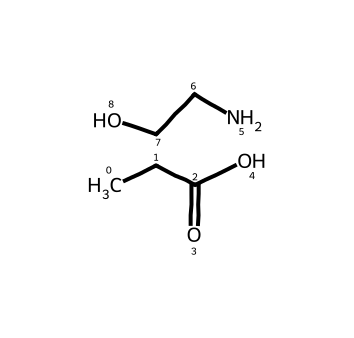 CCC(=O)O.NCCO